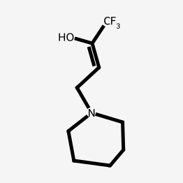 O/C(=C\CN1CCCCC1)C(F)(F)F